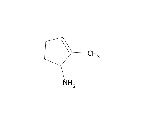 CC1=CCCC1N